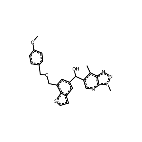 COc1ccc(COCc2cc(C(O)c3cnc4c(nnn4C)c3C)cc3ccsc23)cc1